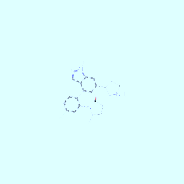 CC1CCC(=O)N1c1cc(F)ccc1-c1cc(C2CCNC2)cc2c1cnn2C